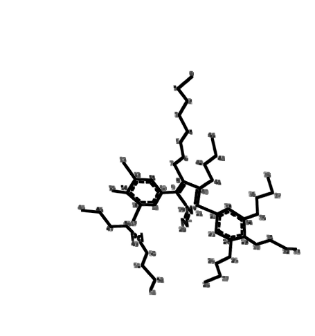 CCCCCCCCC1=C(c2cc(C)c(C)c(C)c2)[N+](=[N-])C(c2cc(CCCC)c(CCCC)c(CCCC)c2)=C1CCCC.CCC[CH2][Pd][CH2]CCC